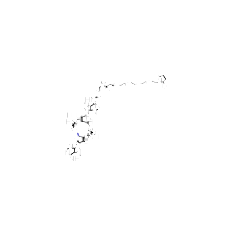 C[C@@H]1[C@@H]2O[P@](=O)(S)O/C=C3\O[C@@H](n4cnc5c(N)ncnc54)[C@H](F)[C@@H]3O[P@](=O)(S)OC[C@H]2O[C@H]1n1cnc2c(NC(=O)OCCN(C)C(=O)CCOCCOCCOCCOCCN3C(=O)C=CC3=O)ncnc21